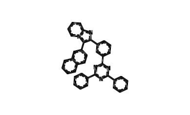 c1ccc(-c2nc(-c3ccccc3)nc(-c3cccc(-c4nc5ccccn5c4-c4ccc5ccccc5c4)c3)n2)cc1